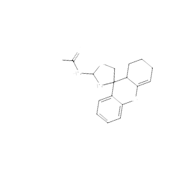 O=C(O)NC1NC2(CS1)c1ccccc1OC1=CCCCC12